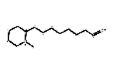 CN1CCCCC1CCCCCCCC=O